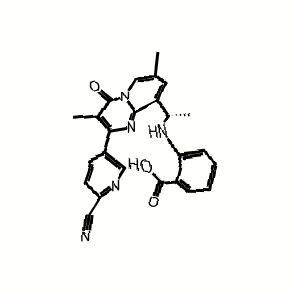 Cc1cc([C@H](C)Nc2ccccc2C(=O)O)c2nc(-c3ccc(C#N)nc3)c(C)c(=O)n2c1